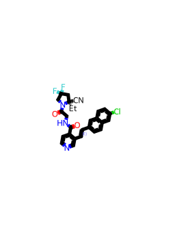 CC[C@@]1(C#N)CC(F)(F)CN1C(=O)CNC(=O)c1ccncc1/C=C/c1ccc2cc(Cl)ccc2c1